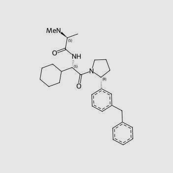 CN[C@@H](C)C(=O)N[C@H](C(=O)N1CCC[C@@H]1c1cccc(Cc2ccccc2)c1)C1CCCCC1